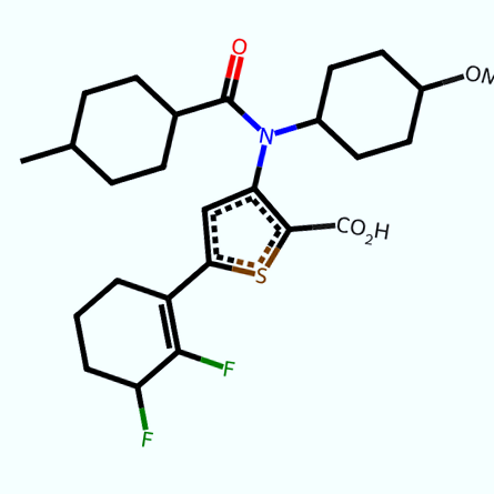 COC1CCC(N(C(=O)C2CCC(C)CC2)c2cc(C3=C(F)C(F)CCC3)sc2C(=O)O)CC1